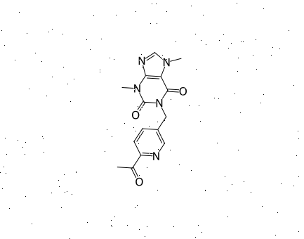 CC(=O)c1ccc(Cn2c(=O)c3c(ncn3C)n(C)c2=O)cn1